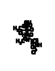 CON=C(C(=O)NC1C(=O)N(S(=O)(=O)O)C1C(C)=O)c1csc(NC(=O)CCl)n1